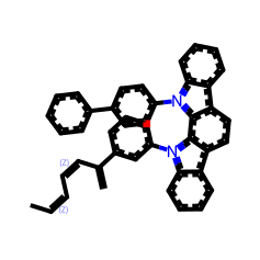 C=C(/C=C\C=C/C)c1cccc(-n2c3ccccc3c3ccc4c5ccccc5n(-c5ccc(-c6ccccc6)cc5)c4c32)c1